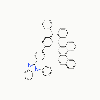 C1=CC(c2c3c(c(-c4cc5ccc6ccccc6c5c5c4C=CCC5)c4cc(-c5ccc(-c6nc7ccccc7n6-c6ccccc6)cc5)ccc24)CCC=C3)=CCC1